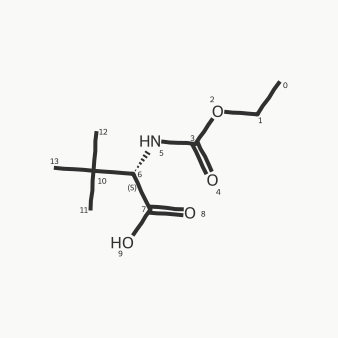 CCOC(=O)N[C@H](C(=O)O)C(C)(C)C